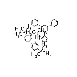 C[C](C)=[Hf]([C]1=C(c2cc(-c3ccccc3)cc(-c3ccccc3)c2)C=CC1)[CH]1c2cc(C(C)(C)C)ccc2-c2ccc(C(C)(C)C)cc21